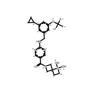 O=C(c1cnc(NCc2cc(OC(F)(F)F)cc(C3CC3)c2)nc1)N1CC2(CCS2(O)O)C1